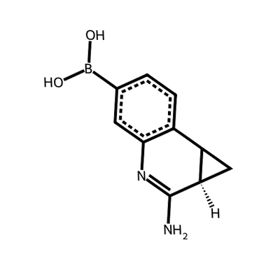 NC1=Nc2cc(B(O)O)ccc2C2C[C@@H]12